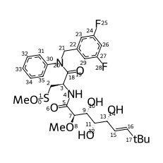 COSC[C@H](NC(=O)[C@H](OC)[C@H](O)[C@@H](O)[C@H](O)/C=C/C(C)(C)C)C(=O)N(Cc1cc(F)cc(F)c1)c1ccccc1